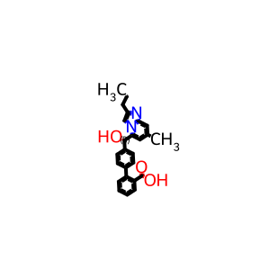 CCCc1cn2c([C@H](O)c3ccc(-c4ccccc4C(=O)O)cc3)cc(C)cc2n1